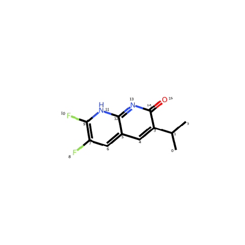 CC(C)c1cc2cc(F)c(F)[nH]c-2nc1=O